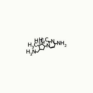 C=C1N=C(N)C=CN1C1CC(CN)C(C)C1C